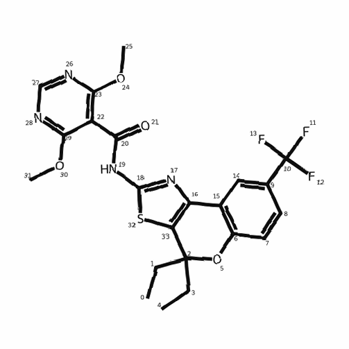 CCC1(CC)Oc2ccc(C(F)(F)F)cc2-c2nc(NC(=O)c3c(OC)ncnc3OC)sc21